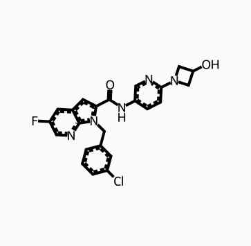 O=C(Nc1ccc(N2CC(O)C2)nc1)c1cc2cc(F)cnc2n1Cc1cccc(Cl)c1